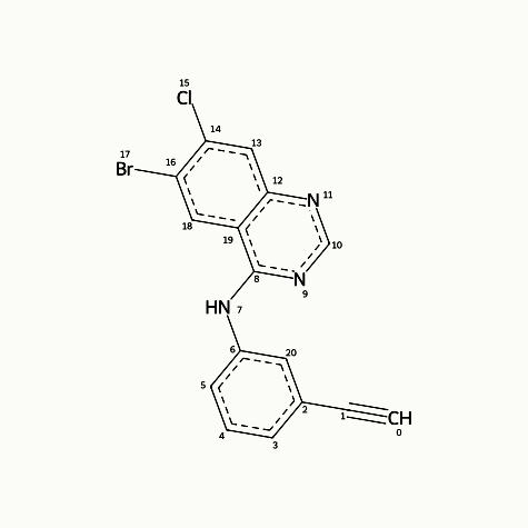 C#Cc1cccc(Nc2ncnc3cc(Cl)c(Br)cc23)c1